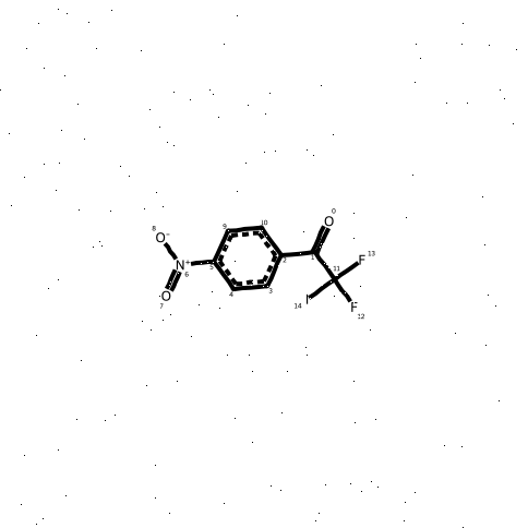 O=C(c1ccc([N+](=O)[O-])cc1)C(F)(F)I